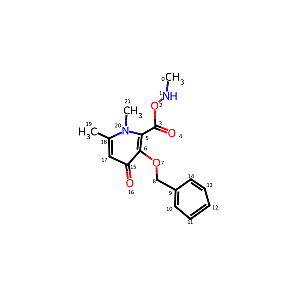 CNOC(=O)c1c(OCc2ccccc2)c(=O)cc(C)n1C